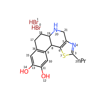 Br.Br.CCCc1nc2c(s1)C1c3cc(O)c(O)cc3CCC1NC2